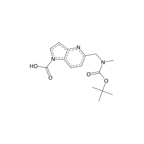 CN(Cc1ccc2c(ccn2C(=O)O)n1)C(=O)OC(C)(C)C